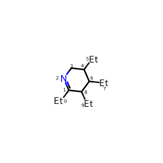 CCC1=NCC(CC)C(CC)C1CC